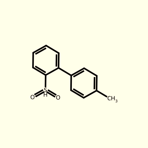 Cc1ccc(-c2ccccc2[SH](=O)=O)cc1